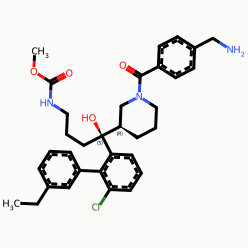 CCc1cccc(-c2c(Cl)cccc2[C@](O)(CCCNC(=O)OC)[C@@H]2CCCN(C(=O)c3ccc(CN)cc3)C2)c1